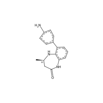 C[C@@H]1CC(=O)Nc2cccc(-c3ccc(N)cc3)c2N1